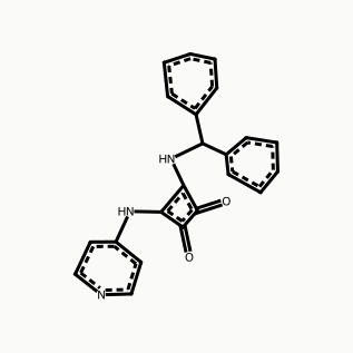 O=c1c(Nc2ccncc2)c(NC(c2ccccc2)c2ccccc2)c1=O